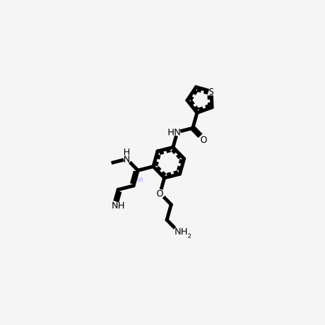 CN/C(=C\C=N)c1cc(NC(=O)c2ccsc2)ccc1OCCN